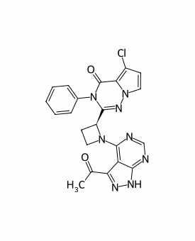 CC(=O)c1n[nH]c2ncnc(N3CC[C@H]3c3nn4ccc(Cl)c4c(=O)n3-c3ccccc3)c12